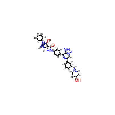 Cc1c(C(=O)Nc2ccc(-c3nc(-c4cccc(CN5CCC(O)CC5)c4)cnc3N)cc2)c(=O)n(-c2ccccc2)n1C